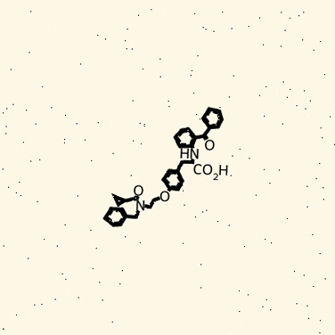 O=C(c1ccccc1)c1ccccc1N[C@@H](Cc1ccc(OCCN(Cc2ccccc2)C(=O)C2CC2)cc1)C(=O)O